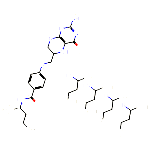 NC(CCC(=O)O)C(=O)O.NC(CCC(=O)O)C(=O)O.NC(CCC(=O)O)C(=O)O.NC(CCC(=O)O)C(=O)O.Nc1nc(=O)c2c([nH]1)NCC(CNc1ccc(C(=O)N[C@@H](CCC(=O)O)C(=O)O)cc1)N2